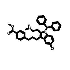 CNCCc1c(CCCc2ccc(C(=O)OC)cc2)c2cc(Cl)ccc2n1C(c1ccccc1)c1ccccc1